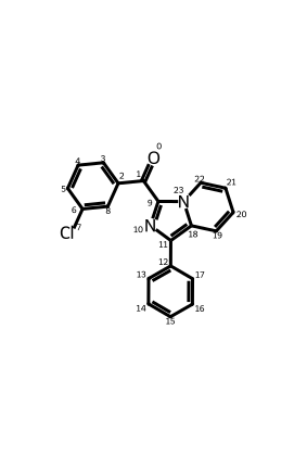 O=C(c1cccc(Cl)c1)c1nc(-c2ccccc2)c2ccccn12